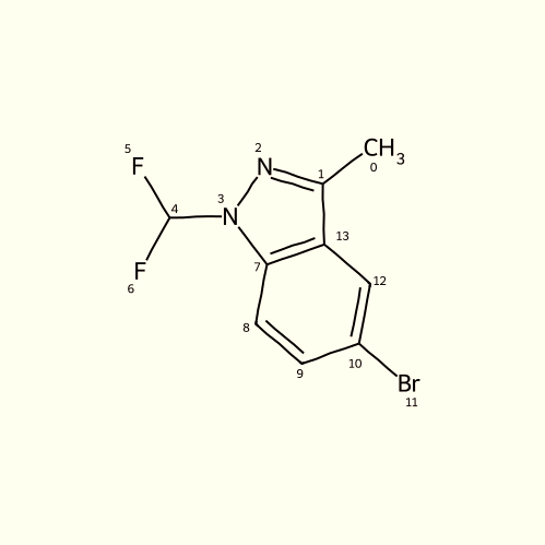 Cc1nn(C(F)F)c2ccc(Br)cc12